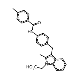 Cc1ccc(C(=O)Nc2ccc(Cc3c(C)n(CC(=O)O)c4ccccc34)cc2)cc1